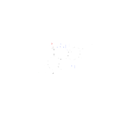 Nc1cc(Cl)cc2[nH]c(=O)c3cc(Cl)ccc3c12